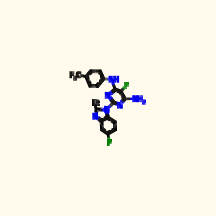 CCc1nc2cc(F)ccc2n1-c1nc(N)c(F)c(Nc2ccc(C(F)(F)F)cc2)n1